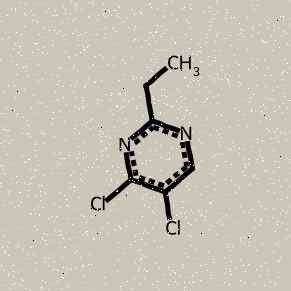 CCc1ncc(Cl)c(Cl)n1